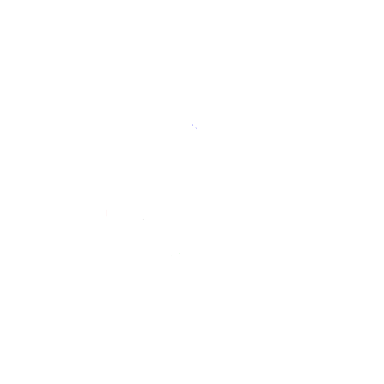 N#Cc1cc(Cl)cc(Cl)c1CC(=O)O